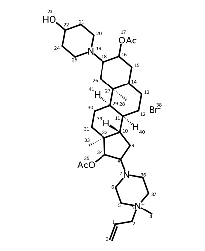 C=CC[N+]1(C)CCN(C2C[C@H]3[C@@H]4CCC5CC(OC(C)=O)C(N6CCC(O)CC6)C[C@]5(C)[C@@H]4CC[C@]3(C)C2OC(C)=O)CC1.[Br-]